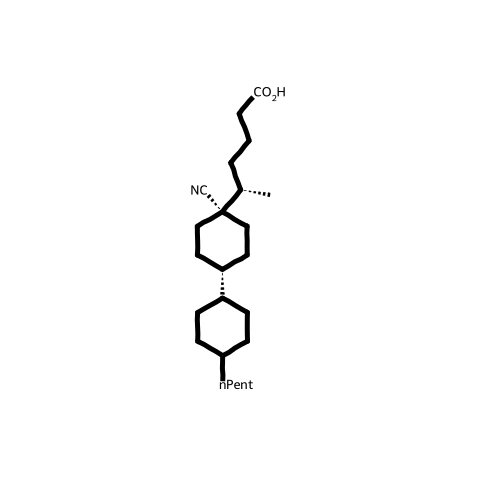 CCCCCC1CCC([C@H]2CC[C@](C#N)([C@@H](C)CCCC(=O)O)CC2)CC1